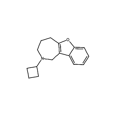 c1ccc2c3c(oc2c1)CCCN(C1CCC1)C3